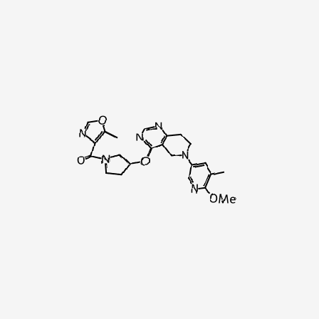 COc1ncc(N2CCc3ncnc(OC4CCN(C(=O)c5ncoc5C)C4)c3C2)cc1C